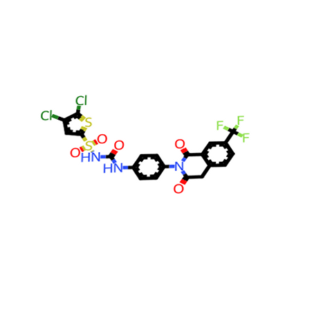 O=C(Nc1ccc(N2C(=O)Cc3ccc(C(F)(F)F)cc3C2=O)cc1)NS(=O)(=O)c1cc(Cl)c(Cl)s1